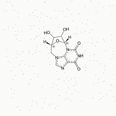 O=c1[nH]c(=O)n2c3c1ncn3C[C@H]1O[C@@H]2C(O)C1O